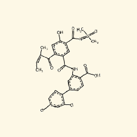 C/C=C(/C)C(=O)c1cc(O)c(C(=O)N=S(C)(C)=O)cc1C(=O)Nc1cc(-c2ccc(Cl)cc2Cl)ccc1C(=O)O